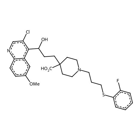 COc1ccc2ncc(Cl)c(C(O)CCC3(C(=O)O)CCN(CCCSc4ccccc4F)CC3)c2c1